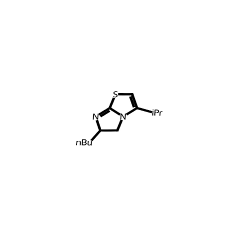 CCCCC1CN2C(C(C)C)=CSC2=N1